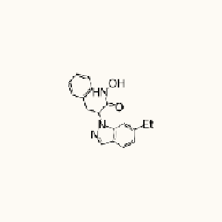 CCc1ccc2cnn(C(Cc3ccccc3)C(=O)NO)c2c1